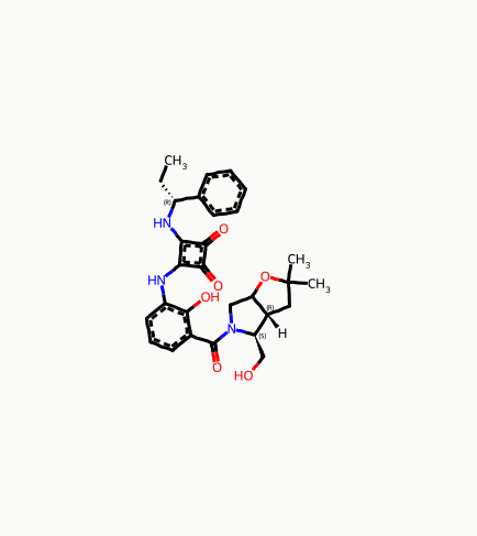 CC[C@@H](Nc1c(Nc2cccc(C(=O)N3CC4OC(C)(C)C[C@@H]4[C@H]3CO)c2O)c(=O)c1=O)c1ccccc1